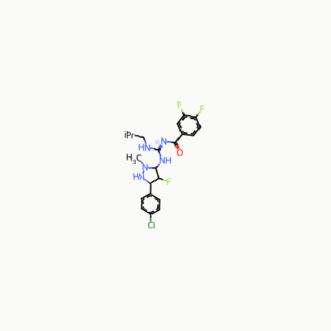 CC(C)CN/C(=N/C(=O)c1ccc(F)c(F)c1)NC1C(F)C(c2ccc(Cl)cc2)NN1C